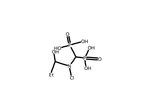 CCC(O)N(Cl)C(P(=O)(O)O)P(=O)(O)O